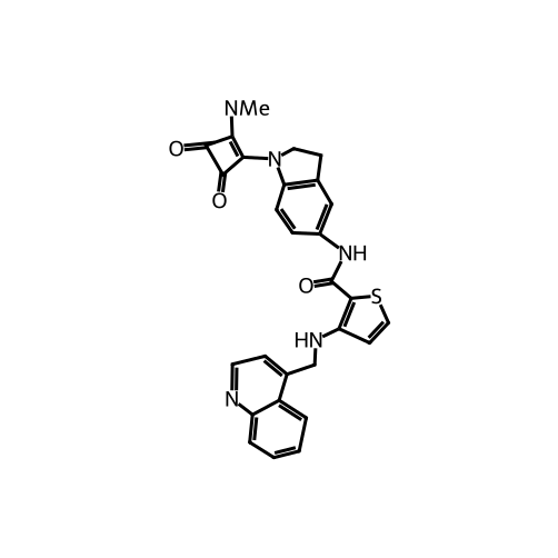 CNc1c(N2CCc3cc(NC(=O)c4sccc4NCc4ccnc5ccccc45)ccc32)c(=O)c1=O